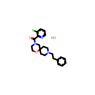 Cl.O=C(c1ncccc1F)N1CCOC2(CCN(CCc3ccccc3)CC2)C1